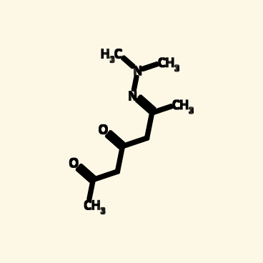 CC(=O)CC(=O)CC(C)=NN(C)C